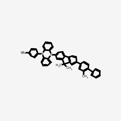 Cc1cc(-c2ccc3c(c2)C(C)(C)c2cc(N4c5ccccc5N(c5ccc(C(C)(C)C)cc5)c5ccccc54)ccc2-3)ccc1-c1ccccc1